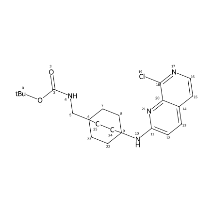 CC(C)(C)OC(=O)NCC12CCC(Nc3ccc4ccnc(Cl)c4n3)(CC1)CC2